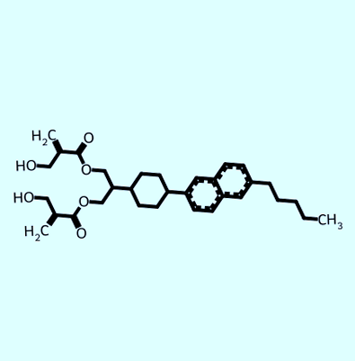 C=C(CO)C(=O)OCC(COC(=O)C(=C)CO)C1CCC(c2ccc3cc(CCCCC)ccc3c2)CC1